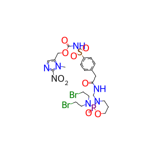 Cn1c(COC(=O)NS(=O)(=O)c2ccc(CC(=O)NCN3CCCOP3(=O)N(CCBr)CCBr)cc2)cnc1[N+](=O)[O-]